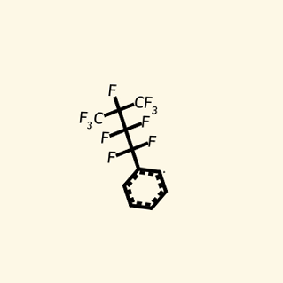 FC(F)(F)C(F)(C(F)(F)F)C(F)(F)C(F)(F)c1[c]cccc1